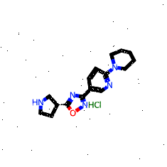 Cl.c1cc(N2CCCCC2)ncc1-c1noc([C@@H]2CCNC2)n1